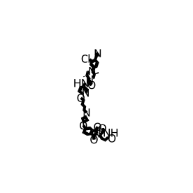 C[C@@H]1CN(c2ccc(C#N)c(Cl)c2)[C@@H](C)CN1C(=O)Nc1ccc(OCCCCN(C)[C@H]2C[C@H](Oc3ccc4c(c3)C(=O)N(C3CCC(=O)NC3=O)C4=O)C2)nc1